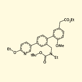 CCOC(=O)Cc1ccc(OC)c(-c2ccc(-c3ccc(OCC)nc3)cc2CN(CC)C(=O)OC(C)(C)C)c1